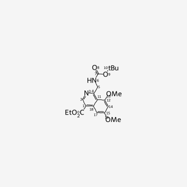 CCOC(=O)c1cnc(CNC(=O)OC(C)(C)C)c2c(OC)cc(OC)cc12